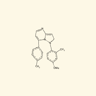 COc1ccc(N2CC=C3N=CC=C(c4ccc(C)cc4)N32)c(C)c1